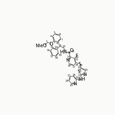 COCOc1ccccc1C(CNC(=O)c1nccc(Sc2cnc(Nc3ccccn3)s2)c1F)c1ccccc1